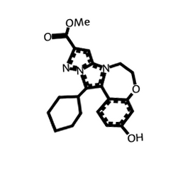 COC(=O)c1cc2n3c(c(C4CCCCC4)n2n1)-c1ccc(O)cc1OCC3